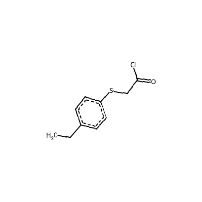 CCc1ccc(SCC(=O)Cl)cc1